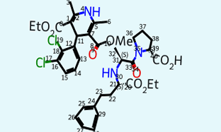 CCOC(=O)C1=C(C)NC(C)=C(C(=O)OC)C1c1cccc(Cl)c1Cl.CCOC(=O)[C@H](CCc1ccccc1)N[C@@H](C)C(=O)N1CCC[C@H]1C(=O)O